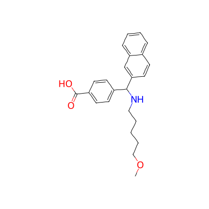 COCCCCCNC(c1ccc(C(=O)O)cc1)c1ccc2ccccc2c1